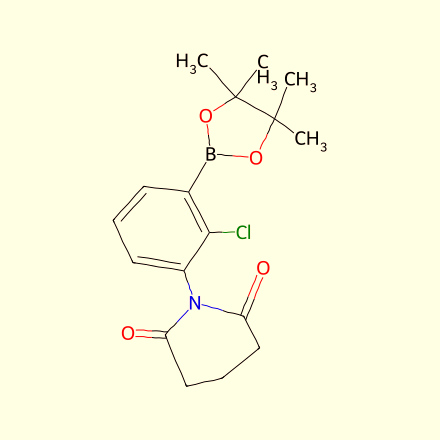 CC1(C)OB(c2cccc(N3C(=O)CCCC3=O)c2Cl)OC1(C)C